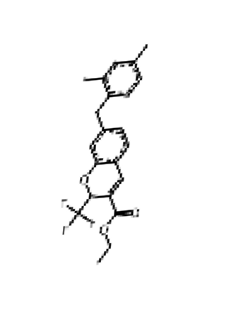 CCOC(=O)C1=Cc2ccc(Cc3ccc(C)cc3C)cc2OC1C(F)(F)F